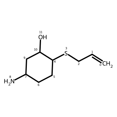 C=CCSC1CCC(N)CC1O